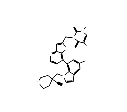 Cn1cc(Br)c(=O)n(Cc2cc3nccc(-c4cc(Cl)cc5ccn(CC6(C#N)CCNCC6)c45)c3s2)c1=O